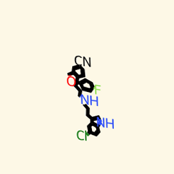 N#Cc1ccc2c(c1)COC2(CCCNCCCc1c[nH]c2ccc(Cl)cc12)c1ccc(F)cc1